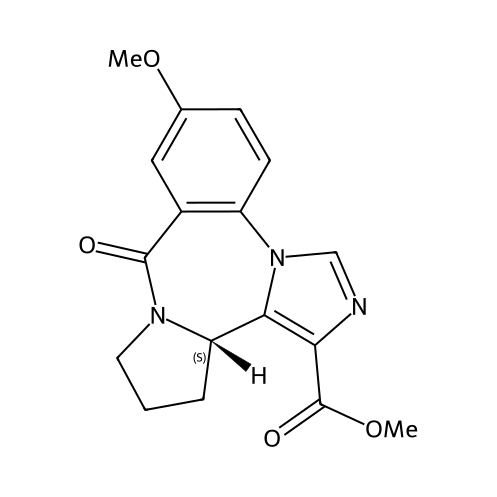 COC(=O)c1ncn2c1[C@@H]1CCCN1C(=O)c1cc(OC)ccc1-2